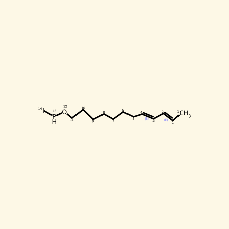 C/C=C/C=C/CCCCCCCOPI